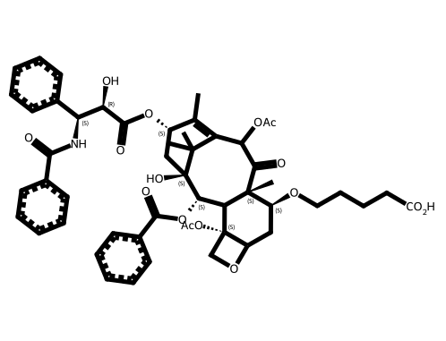 CC(=O)OC1C(=O)[C@@]2(C)C([C@H](OC(=O)c3ccccc3)[C@]3(O)C[C@H](OC(=O)[C@H](O)[C@@H](NC(=O)c4ccccc4)c4ccccc4)C(C)=C1C3(C)C)[C@]1(OC(C)=O)COC1C[C@@H]2OCCCCC(=O)O